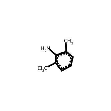 Cc1cccc(C(Cl)(Cl)Cl)c1N